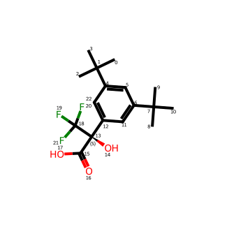 CC(C)(C)c1cc(C(C)(C)C)cc([C@](O)(C(=O)O)C(F)(F)F)c1